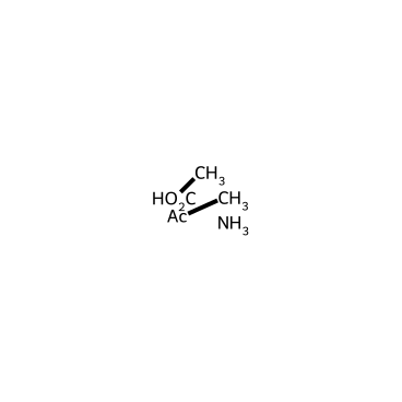 CC(=O)O.CC(C)=O.N